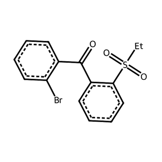 CCS(=O)(=O)c1ccccc1C(=O)c1ccccc1Br